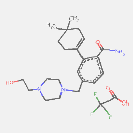 CC1(C)CC=C(c2cc(CN3CCN(CCO)CC3)ccc2C(N)=O)CC1.O=C(O)C(F)(F)F